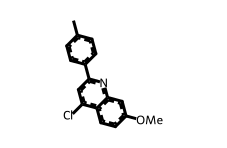 COc1ccc2c(Cl)cc(-c3ccc(C)cc3)nc2c1